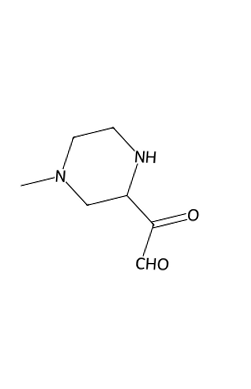 CN1CCNC(C(=O)C=O)C1